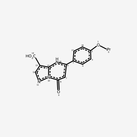 CC(C)Oc1ccc(-c2cc(=O)n3ncc(C(=O)O)c3[nH]2)cc1